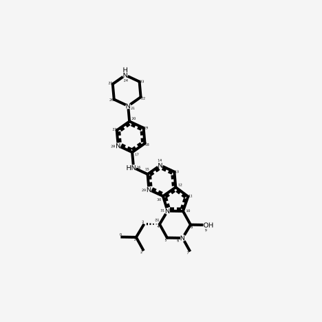 CC(C)C[C@H]1CN(C)C(O)c2cc3cnc(Nc4ccc(N5CCNCC5)cn4)nc3n21